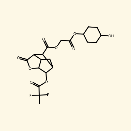 CC(F)(F)C(=O)OC1C2CC3C1OC(=O)C3C2C(=O)OCC(=O)OC1CCC(O)CC1